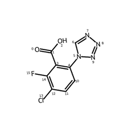 O=C(O)c1c(-n2cnnn2)ccc(Cl)c1F